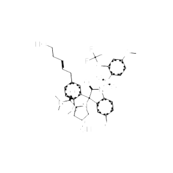 COc1ccc(S(=O)(=O)N2C(=O)C(c3cc(CC=CCCO)ccc3OC)(N3C[C@H](O)C[C@H]3C(=O)N(C)C)c3cc(Cl)ccc32)c(OC(F)(F)F)c1